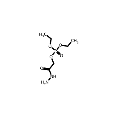 CCOP(=O)(OCC)OCC(=O)NN